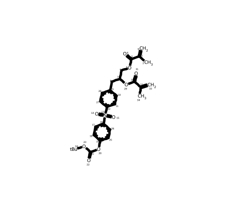 C=C(C)C(=O)OCC(Cc1ccc(S(=O)(=O)c2ccc(OC(=O)OC(C)(C)C)cc2)cc1)OC(=O)C(=C)C